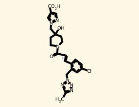 Cc1nnn(Cc2cc(Cl)ccc2/C=C/C(=O)N2CCC(O)(Cn3cc(C(=O)O)cn3)CC2)n1